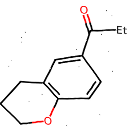 CCC(=O)c1ccc2c(c1)CCCO2